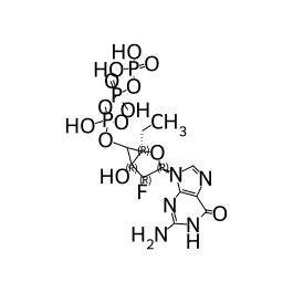 CC[C@]12O[C@@H](n3cnc4c(=O)[nH]c(N)nc43)[C@H](F)[C@@]1(O)C2OP(=O)(O)OP(=O)(O)OP(=O)(O)O